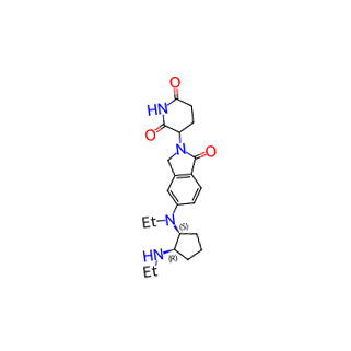 CCN[C@@H]1CCC[C@@H]1N(CC)c1ccc2c(c1)CN(C1CCC(=O)NC1=O)C2=O